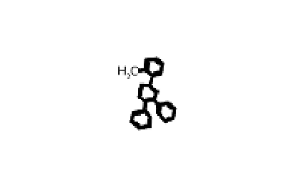 Cc1ccccc1-c1ccc(-c2ccccc2)c(-c2ccccc2)c1